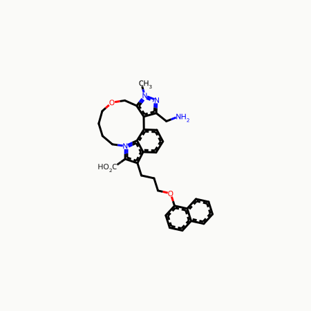 Cn1nc(CN)c2c1COCCCCn1c(C(=O)O)c(CCCOc3cccc4ccccc34)c3cccc-2c31